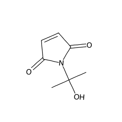 CC(C)(O)N1C(=O)C=CC1=O